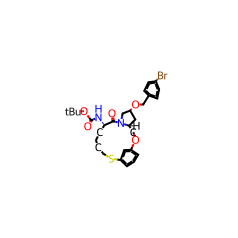 CC(C)(C)OC(=O)N[C@H]1CCCCSc2cccc(c2)OC[C@@H]2C[C@H](OCc3ccc(Br)cc3)CN2C1=O